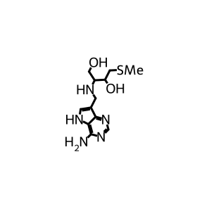 CSCC(O)C(CO)NCc1c[nH]c2c(N)ncnc12